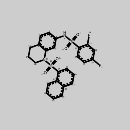 O=S(=O)(Nc1ccc2c(c1)N(S(=O)(=O)c1cccc3ccccc13)CCC2)c1ccc(F)cc1F